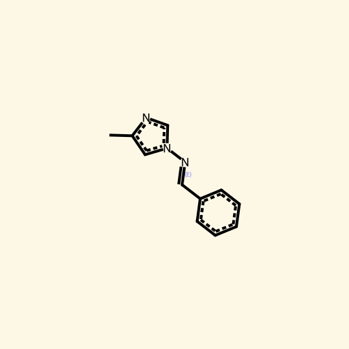 Cc1cn(/N=C/c2ccccc2)cn1